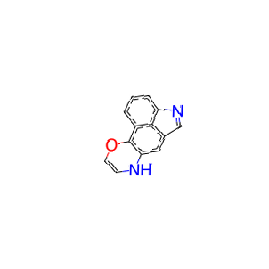 C1=COc2c(cc3c4c(cccc24)N=C3)N1